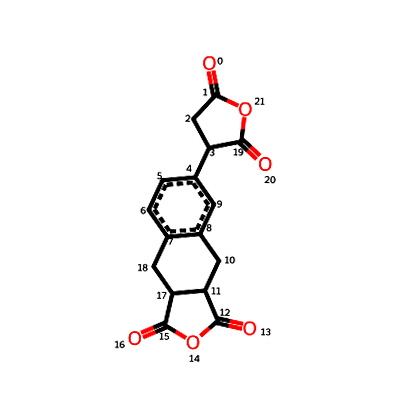 O=C1CC(c2ccc3c(c2)CC2C(=O)OC(=O)C2C3)C(=O)O1